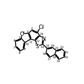 Clc1cc2oc3ccccc3c2c2sc(-c3ccc4ccccc4c3)nc12